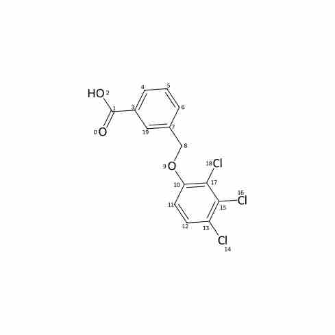 O=C(O)c1cccc(COc2ccc(Cl)c(Cl)c2Cl)c1